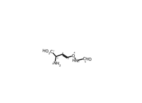 NC(C=CONC=O)C(=O)O